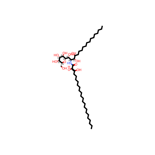 CCCCCCCCCCCCCCCCCCCCCC(O)=C(O)C(=O)N[C@@H]([C@@H](O)[C@@H]1O[C@H](CO)[C@@H](O)[C@H](O)[C@H]1O)[C@H](O)C(O)CCCCCCCCCCCCCC